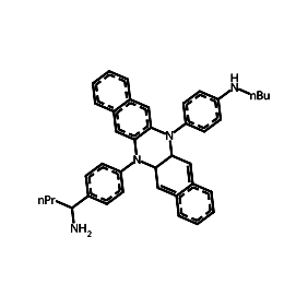 CCCCNc1ccc(N2c3cc4ccccc4cc3N(c3ccc(C(N)CCC)cc3)C3C=c4ccccc4=CC32)cc1